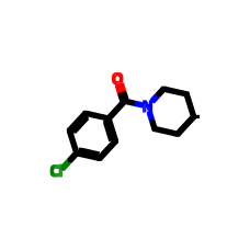 O=C(c1ccc(Cl)cc1)N1CC[CH]CC1